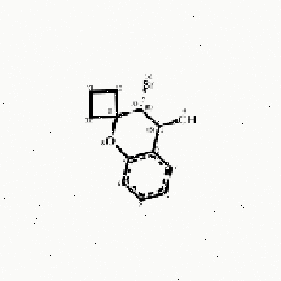 O[C@H]1c2ccccc2OC2(CCC2)[C@@H]1Br